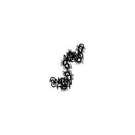 COC(=O)NCC(=O)N1[C@@H]2CC[C@@H](C2)[C@H]1c1nc2ccc3cc(-c4ccc5c(ccc6nc([C@@H]7CCCN7C(=O)[C@H](NC(=O)N7CCOCC7)c7ccccc7)[nH]c65)c4)ccc3c2[nH]1